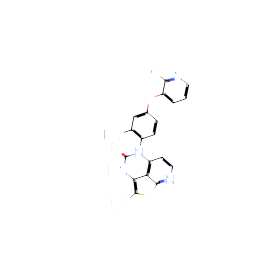 Cc1cc(Oc2cccnc2C)ccc1N1C(=O)Nc2c(C(=O)O)sc3nccc1c23